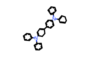 C1=CC(N(c2ccccc2)c2ccc(C3=CC=C(N(c4ccccc4)c4ccccc4)CC3)cc2)=CCC1